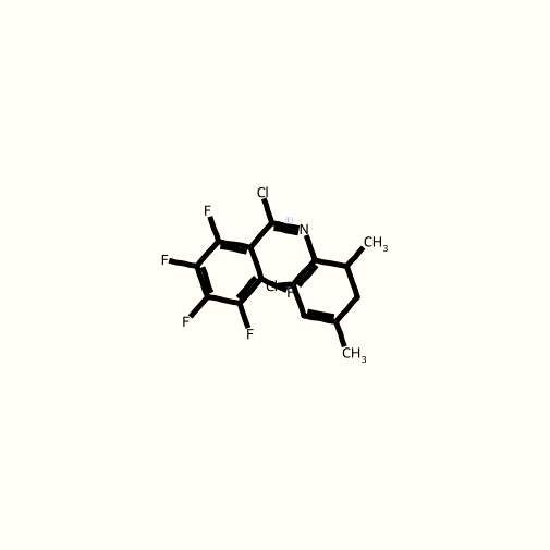 CC1=CC(Cl)=C(/N=C(/Cl)c2c(F)c(F)c(F)c(F)c2F)C(C)C1